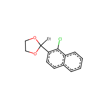 CCC1(c2ccc3ccccc3c2Cl)OCCO1